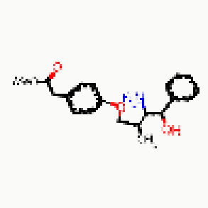 COC(=O)Cc1ccc(OCC(C)C(N)C(O)c2ccccc2)cc1